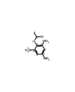 CC([O])Sc1c(N)cc(N)cc1N